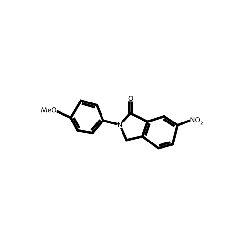 COc1ccc(N2Cc3ccc([N+](=O)[O-])cc3C2=O)cc1